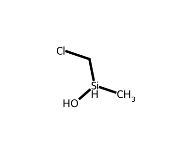 C[SiH](O)CCl